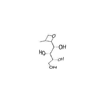 CC1COC1[C@H](O)[C@@H](O)[C@H](O)CO